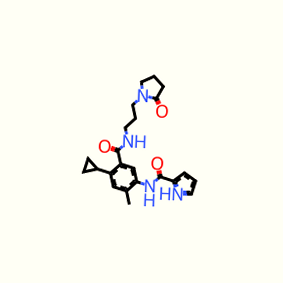 Cc1cc(C2CC2)c(C(=O)NCCCN2CCCC2=O)cc1NC(=O)c1ccc[nH]1